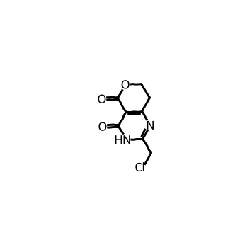 O=C1OCCc2nc(CCl)[nH]c(=O)c21